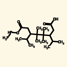 CC(C)C(CC(=O)O)C(C)(C)C(C)(C)C(CC(=O)OPP)C(C)C